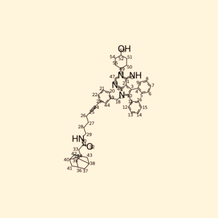 N=c1c2c(-c3ccccc3)c(-c3ccccc3)n(Cc3cccc(C#CCCCCNC(=O)CC45CC6CC(CC(C6)C4)C5)c3)c2ncn1C1CCC(O)CC1